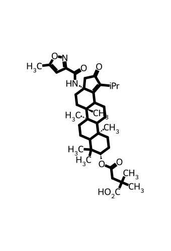 Cc1cc(C(=O)N[C@@]23CC[C@]4(C)C(CCC5[C@@]6(C)CC[C@H](OC(=O)CC(C)(C)C(=O)O)C(C)(C)C6CC[C@]54C)C2=C(C(C)C)C(=O)C3)no1